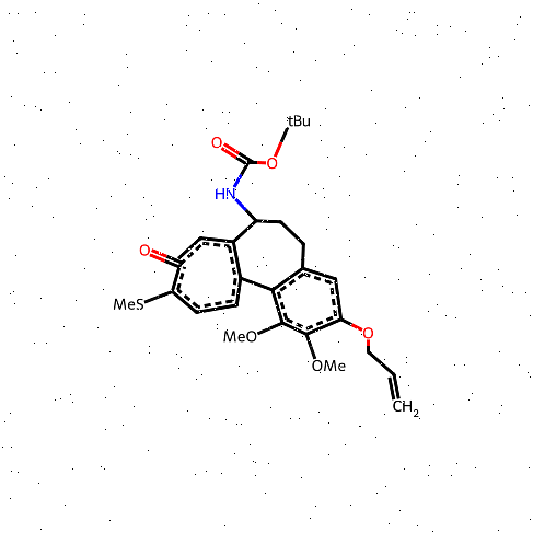 C=CCOc1cc2c(c(OC)c1OC)-c1ccc(SC)c(=O)cc1C(NC(=O)OC(C)(C)C)CC2